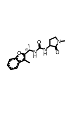 Cc1c([C@H](C)NC(=O)NC2CCN(C)C2=O)oc2ccccc12